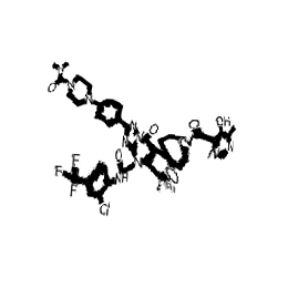 Cc1ncnc(C(=O)N2CCC3(CC2)O[C@H](C)c2c3c(=O)n3nc(-c4ccc(N5CCN(C(=O)N(C)C)CC5)cc4)nc3n2CC(=O)Nc2ccc(C(F)(F)F)cc2Cl)c1O